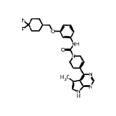 Cc1c[nH]c2ncnc(C3=CCN(C(=O)Nc4cccc(OCC5CCC(F)(F)CC5)c4)CC3)c12